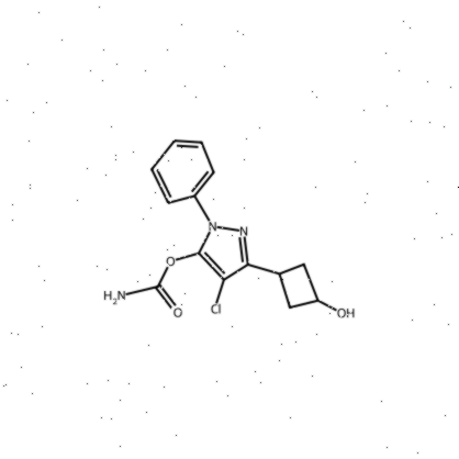 NC(=O)Oc1c(Cl)c(C2CC(O)C2)nn1-c1ccccc1